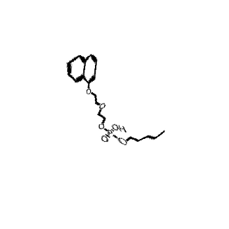 CCCCCOP(=O)(O)OCCOCCOc1cccc2ccccc12